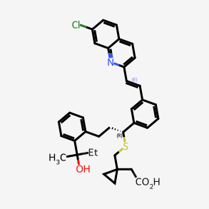 CCC(C)(O)c1ccccc1CC[C@@H](SCC1(CC(=O)O)CC1)c1cccc(/C=C/c2ccc3ccc(Cl)cc3n2)c1